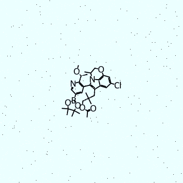 CO[C@@H](C)c1ncc(B2OC(C)(C)C(C)(C)O2)cc1-c1c(CC(C)(C)COC(C)=O)c2cc(Cl)cc3c2n1C(C)CO3